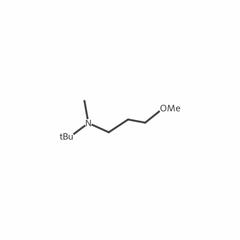 COCCCN(C)C(C)(C)C